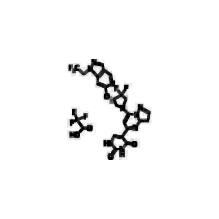 O=C(O)C(F)(F)F.O=c1[nH]cc(-c2cc(N3C[C@H](Oc4cc5c(cn4)cnn5CC(F)(F)F)C(F)(F)C3)n3nccc3n2)c(=O)[nH]1